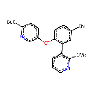 COc1ncccc1-c1cc(C#N)ccc1Oc1ccc(OCC(C)C)nc1